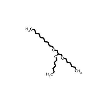 CCCCCCCCCCOCC(COCCCCCC)OCCCCCC